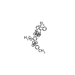 COc1cc(S(=O)(=O)ON=C2C=CSC2=C(C#N)c2ccccc2C)ccc1OS(=O)(=O)c1ccc(C)cc1